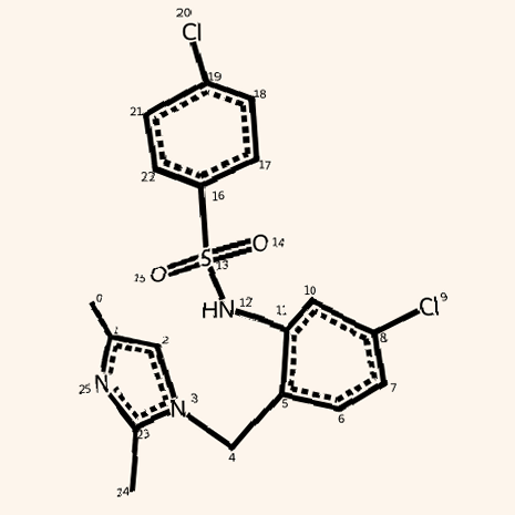 Cc1cn(Cc2ccc(Cl)cc2NS(=O)(=O)c2ccc(Cl)cc2)c(C)n1